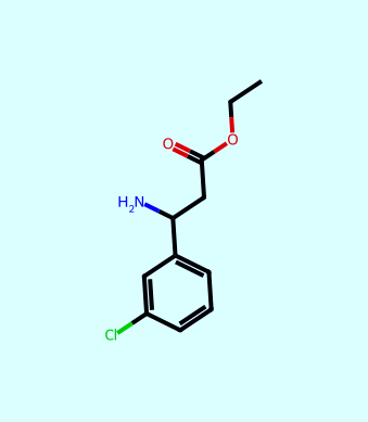 CCOC(=O)CC(N)c1cccc(Cl)c1